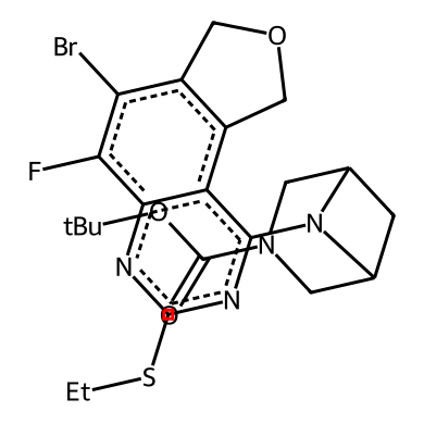 CCSc1nc(N2C3CC2CN(C(=O)OC(C)(C)C)C3)c2c3c(c(Br)c(F)c2n1)COC3